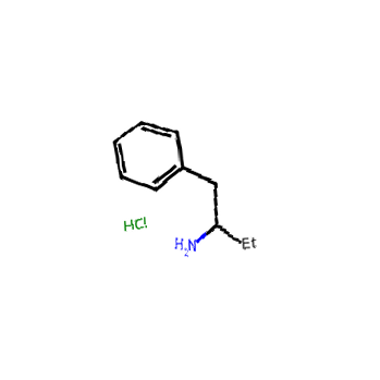 CCC(N)Cc1ccccc1.Cl